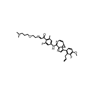 C=CCc1c(C2=CN=C3C(Nc4cc(C)c(C(=O)/C=N/CCOCCCN(C)C)c(F)c4)=NC=CC4CC234)ccc(OC)c1F